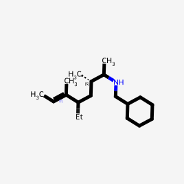 C/C=C(\C)C(CC)C[C@H](C)C(C)NCC1CCCCC1